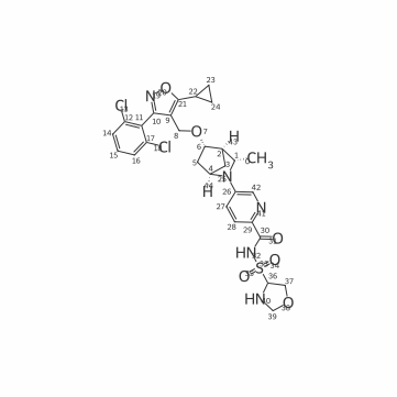 C[C@H]1[C@H]2C[C@H](C[C@@H]2OCc2c(-c3c(Cl)cccc3Cl)noc2C2CC2)N1c1ccc(C(=O)NS(=O)(=O)C2COCN2)nc1